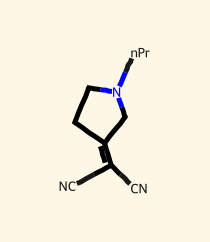 CCCN1CCC(=C(C#N)C#N)C1